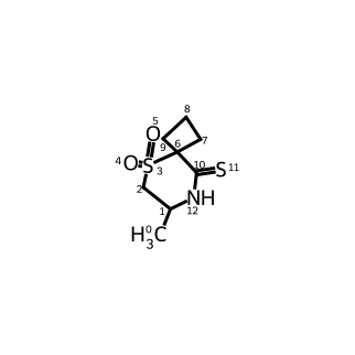 CC1CS(=O)(=O)C2(CCC2)C(=S)N1